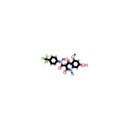 COc1cc(O)cc2c1c(O)c(C(=O)N(C)c1ccc(C(F)(F)F)cc1)c(=O)n2C